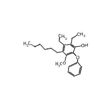 CCCCCCc1c(CC)c(CC)c(O)c(Oc2ccccc2)c1OC